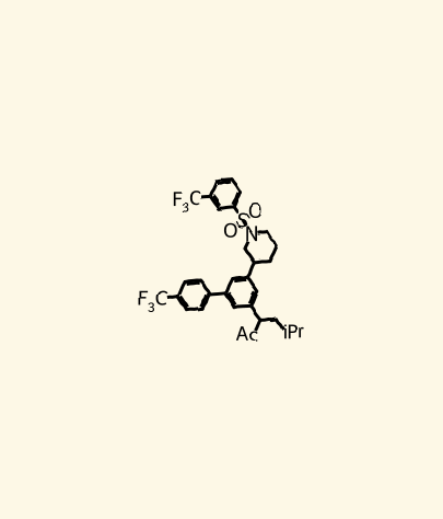 CC(=O)C(CC(C)C)c1cc(-c2ccc(C(F)(F)F)cc2)cc(C2CCCN(S(=O)(=O)c3cccc(C(F)(F)F)c3)C2)c1